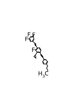 CCCCc1ccc(C#Cc2ccc(C#Cc3cc(F)c(F)c(F)c3)c(F)c2C2CC2)cc1